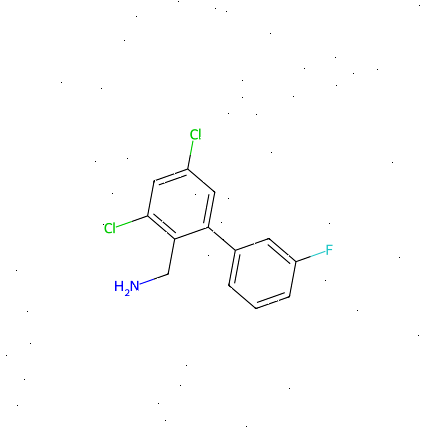 NCc1c(Cl)cc(Cl)cc1-c1cccc(F)c1